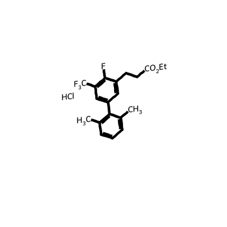 CCOC(=O)CCc1cc(-c2c(C)cccc2C)cc(C(F)(F)F)c1F.Cl